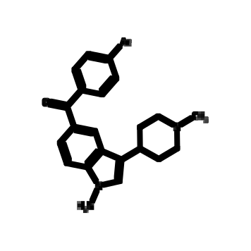 CC(=O)c1ccc(C(=O)c2ccc3c(c2)c(C2CCN(C)CC2)cn3N)cc1